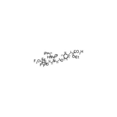 CCOC(Cc1ccc(OCCN(CCOC(F)(F)C(F)(F)C(F)(F)F)C(=O)NCC(C)C)cc1)C(=O)O